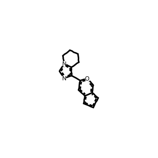 c1cc2coc(-c3ncn4c3CCCC4)cc-2c1